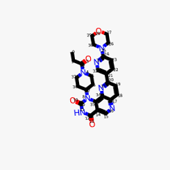 CCC(=O)N1CCC(n2c(=O)[nH]c(=O)c3cnc4ccc(-c5ccc(N6CCOCC6)nc5)nc4c32)CC1